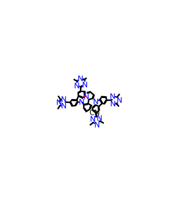 Cc1nc(C)nc(-c2ccc3c(c2)c2cc(-c4nc(C)nc(C)n4)ccc2n3-c2ccc(C#N)cc2-c2ncccc2-n2c3ccc(-c4nc(C)nc(C)n4)cc3c3cc(-c4nc(C)nc(C)n4)ccc32)n1